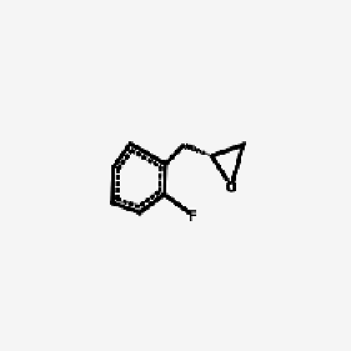 Fc1[c]cccc1C[C@@H]1CO1